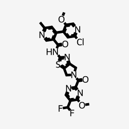 COc1cnc(Cl)cc1-c1cc(C)ncc1C(=O)Nc1nc2c(s1)CN(C(=O)c1ncc(C(F)F)c(OC)n1)C2